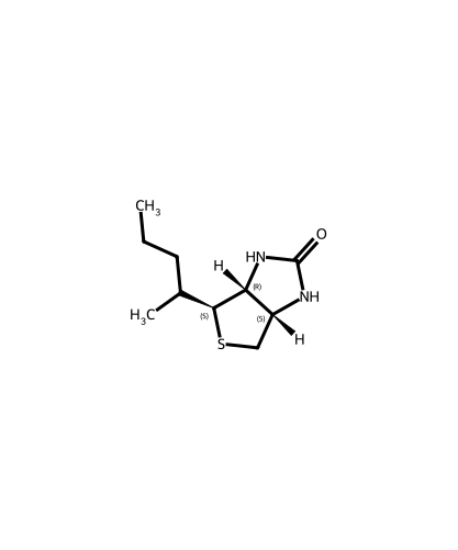 CCCC(C)[C@@H]1SC[C@H]2NC(=O)N[C@H]21